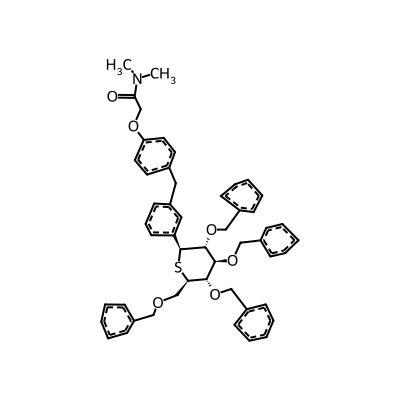 CN(C)C(=O)COc1ccc(Cc2cccc([C@@H]3S[C@H](COCc4ccccc4)[C@@H](OCc4ccccc4)[C@H](OCc4ccccc4)[C@H]3OCc3ccccc3)c2)cc1